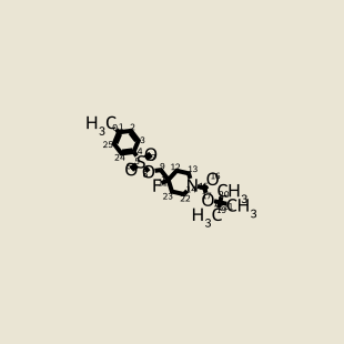 Cc1ccc(S(=O)(=O)OCC2(F)CCN(C(=O)OC(C)(C)C)CC2)cc1